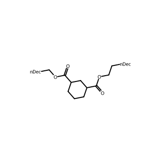 CCCCCCCCCCCCOC(=O)C1CCCC(C(=O)OCCCCCCCCCCC)C1